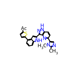 CC(=O)c1ccc(-c2cccc3[nH]c(-c4n[nH]c5ccc(-c6cnc(C)n6C)nc45)cc23)s1